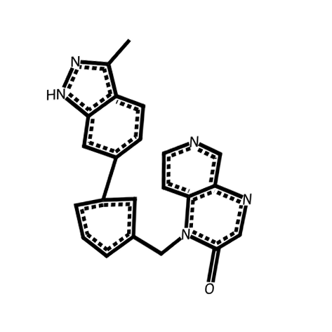 Cc1n[nH]c2cc(-c3cccc(Cn4c(=O)cnc5cnccc54)c3)ccc12